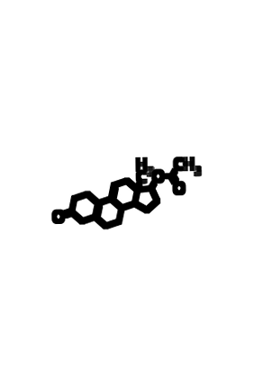 CC(=O)OC1CCC2C3CCC4=C(CCC(=O)C4)C3=CCC12C